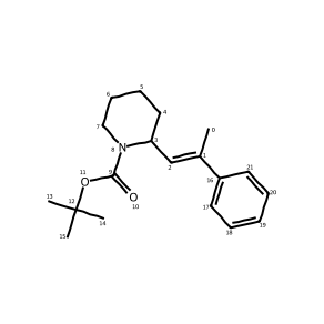 CC(=CC1CCCCN1C(=O)OC(C)(C)C)c1ccccc1